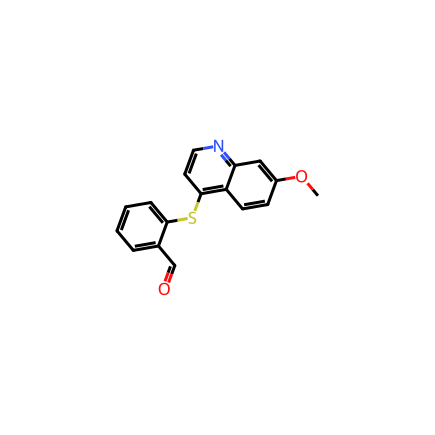 COc1ccc2c(Sc3ccccc3C=O)ccnc2c1